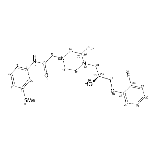 CSc1cccc(NC(=O)CN2CCN(C[C@H](O)COc3ccccc3F)[C@@H](C)C2)c1